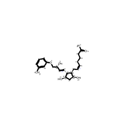 Cc1cccc(OC[C@H](O)/C=C/[C@@H]2[C@@H](C/C=C\CCCC(=O)C(C)C)[C@@H](O)C[C@H]2O)c1